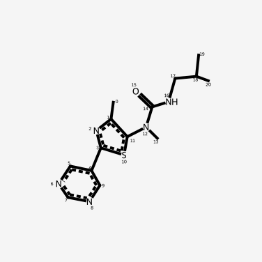 Cc1nc(-c2cncnc2)sc1N(C)C(=O)NCC(C)C